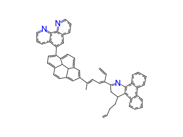 C=CCCC1CC(/C(C=C)=C/C=C(\C)C2=CC3=CC=C4C(c5cc6cccnc6c6ncccc56)=CC=C5C=CC(=C2)C3C54)=Nc2c1c1ccccc1c1ccccc21